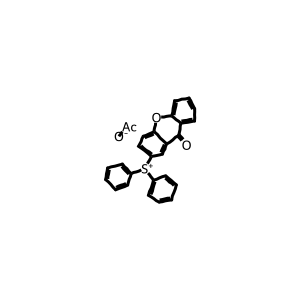 CC(=O)[O-].O=c1c2ccccc2oc2ccc([S+](c3ccccc3)c3ccccc3)cc12